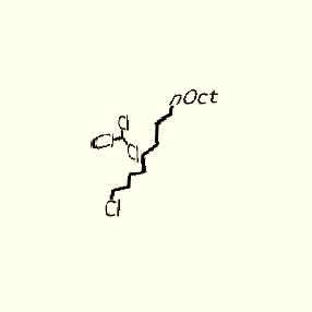 CCCCCCCCCCCCCCCCCl.ClC(Cl)Cl